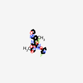 Cc1cc2c(cnn2C2CCCCO2)c(-c2nccc3c2oc2nc(OC[C@@]45CCCN4C[C@H](F)C5)nc(N4CCOC[C@@](C)(O)C4)c23)c1C(F)(F)F